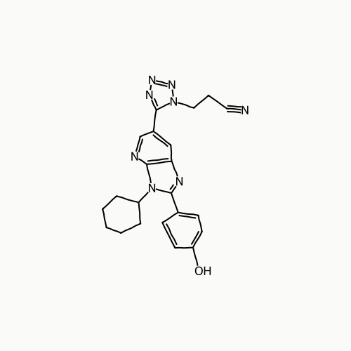 N#CCCn1nnnc1-c1cnc2c(c1)nc(-c1ccc(O)cc1)n2C1CCCCC1